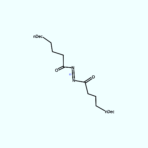 CCCCCCCCCCCCCC(=O)/N=N/C(=O)CCCCCCCCCCCCC